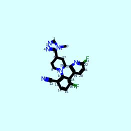 Cn1cnnc1C1CCN(c2c(C#N)ccc(F)c2-c2ccc(F)nc2)CC1